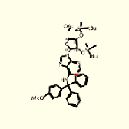 COc1ccc(C(Nc2ncnc3c2ncn3[C@@H]2O[C@H](COC(C)=O)[C@@H](O[Si](C)(C)C(C)(C)C)[C@H]2O[Si](C)(C)C(C)(C)C)(c2ccccc2)c2ccccc2)cc1